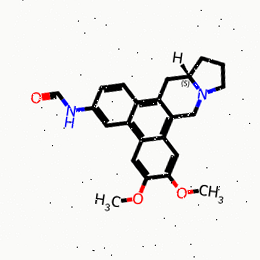 COc1cc2c3c(c4ccc(NC=O)cc4c2cc1OC)C[C@@H]1CCCN1C3